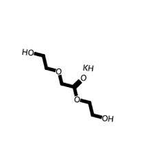 O=C(COCCO)OCCO.[KH]